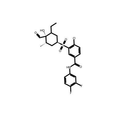 CCC1C[C@@H](S(=O)(=O)c2cc(C(=O)Nc3ccc(F)c(F)c3)ccc2Cl)C[C@H](C)[C@@]1(O)C=O